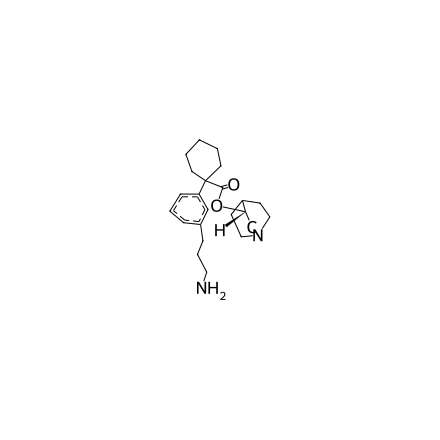 NCCCc1cccc(C2(C(=O)O[C@H]3CN4CCC3CC4)CCCCC2)c1